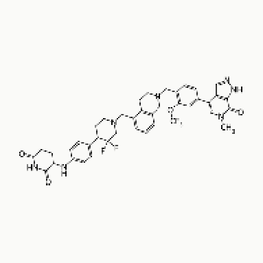 Cn1cc(-c2ccc(CN3CCc4c(cccc4CN4CCC(c5ccc(NC6CCC(=O)NC6=O)cc5)C(F)(F)C4)C3)c(OC(F)(F)F)c2)c2cn[nH]c2c1=O